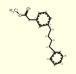 COC(=O)Cc1cccc(CCCCc2ccccc2)c1